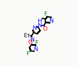 CC/C(=N\Oc1cc(F)cnc1F)c1ccc(NC(=O)c2cncc(F)c2C)nc1